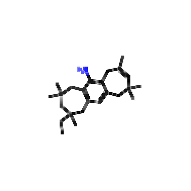 CCC1(C)Cc2cc3c(c(N)c2CC(C)(C)C1)CC(C)=CC(C)(C)C3